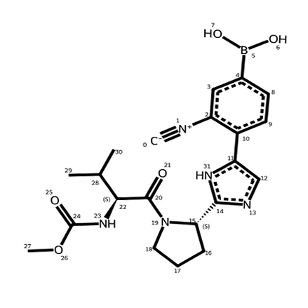 [C-]#[N+]c1cc(B(O)O)ccc1-c1cnc([C@@H]2CCCN2C(=O)[C@@H](NC(=O)OC)C(C)C)[nH]1